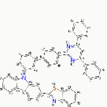 c1ccc(-c2cc(-c3ccccc3)nc(-c3ccc(-c4cccc(-n5c6ccccc6c6ccc(-c7nc8ccccc8s7)cc65)c4)cc3)n2)cc1